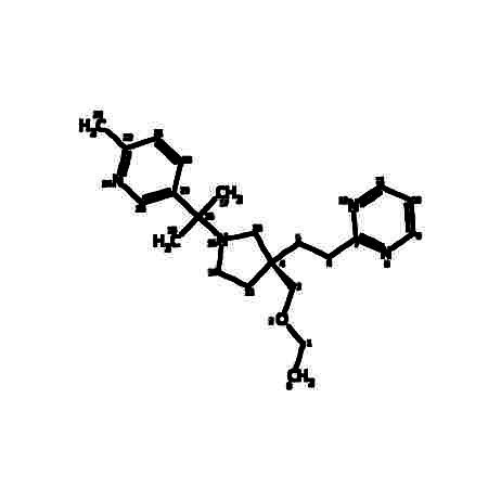 CCOC[C@@]1(CCc2ncccn2)CCN(C(C)(C)c2ccc(C)nc2)C1